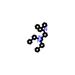 c1ccc(-c2cccc(-c3cc(-c4cccc(-c5nc6ccccc6c6c5ccc5ccccc56)c4)nc(-c4cccc(-c5ccccc5)c4)n3)c2)cc1